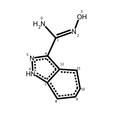 NC(=NO)c1n[nH]c2ccccc12